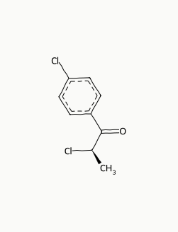 C[C@@H](Cl)C(=O)c1ccc(Cl)cc1